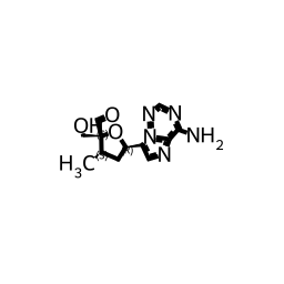 C[C@H]1C[C@H](c2cnc3c(N)ncnn23)O[C@]1(C=O)CO